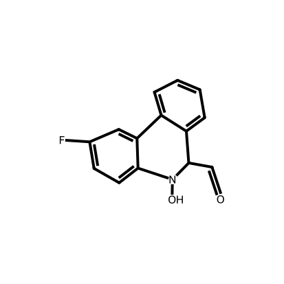 O=CC1c2ccccc2-c2cc(F)ccc2N1O